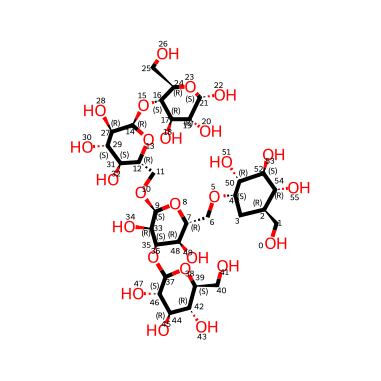 OC[C@H]1C[C@H](OC[C@H]2O[C@H](OC[C@H]3O[C@H](O[C@H]4[C@H](O)[C@@H](O)[C@@H](O)O[C@@H]4CO)[C@H](O)[C@@H](O)[C@@H]3O)[C@H](O)[C@@H](OC3O[C@@H](CO)[C@H](O)[C@@H](O)[C@@H]3O)[C@@H]2O)[C@H](O)[C@@H](O)[C@@H]1O